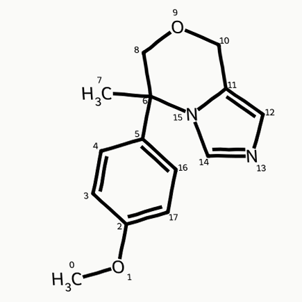 COc1ccc(C2(C)COCc3cncn32)cc1